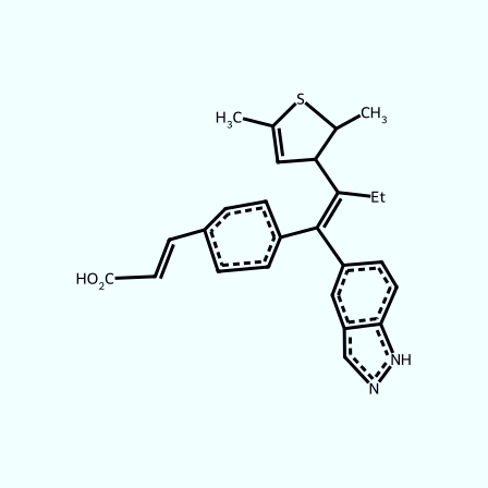 CC/C(=C(/c1ccc(/C=C/C(=O)O)cc1)c1ccc2[nH]ncc2c1)C1C=C(C)SC1C